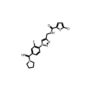 N=C(c1ccc(-n2cc(CNC(=O)c3ccc(Cl)s3)nn2)c(F)c1)N1CCCC1